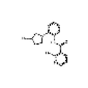 Nc1nccnc1C(=O)Nc1cnccc1N1CCC(N)C1